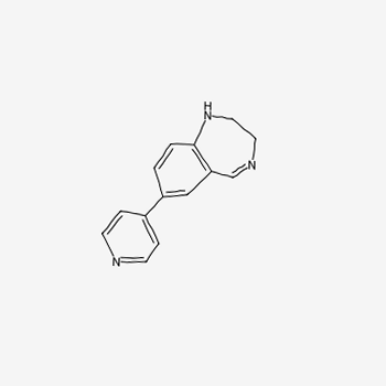 C1=NCCNc2ccc(-c3ccncc3)cc21